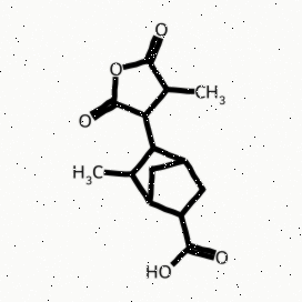 CC1C(=O)OC(=O)C1C1C2CC(C(=O)O)C(C2)C1C